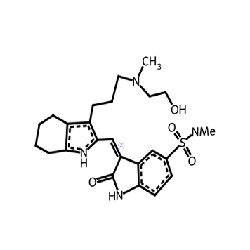 CNS(=O)(=O)c1ccc2c(c1)/C(=C/c1[nH]c3c(c1CCCN(C)CCO)CCCC3)C(=O)N2